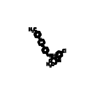 CCc1nc2cc(Cl)ccn2c1C(=O)NCc1ccc(N2CCN(c3ccc(C)cc3)CC2)cc1